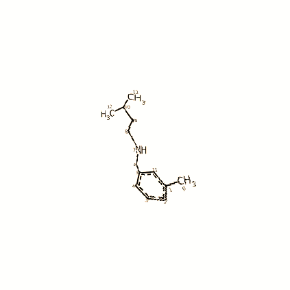 Cc1cccc(CNCCC(C)C)c1